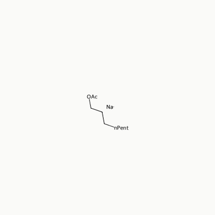 CCCCCCCCOC(C)=O.[Na]